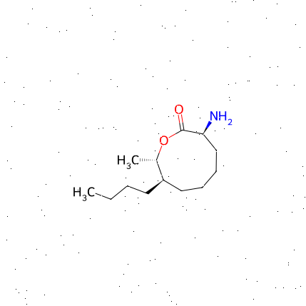 CCCC[C@@H]1CCCC[C@H](N)C(=O)O[C@H]1C